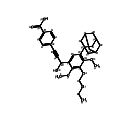 CCOCOc1c(OC)c(C(O)C#Cc2ccc(C(=O)O)cc2)cc(C23CC4CC(CC(C4)C2)C3)c1OC